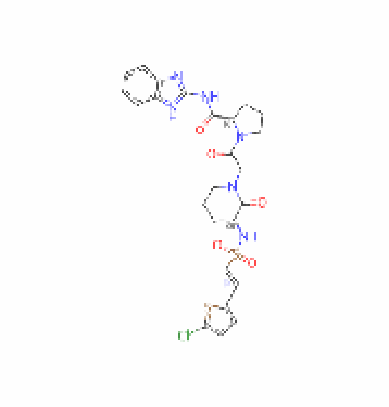 O=C(Nc1nc2ccccc2[nH]1)[C@H]1CCCN1C(=O)CN1CCC[C@H](NS(=O)(=O)/C=C/c2ccc(Cl)s2)C1=O